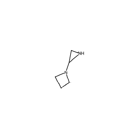 [CH]1CCN1C1CN1